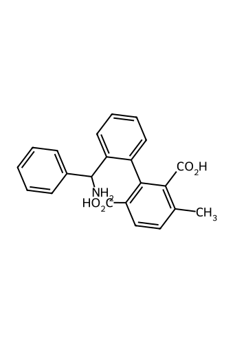 Cc1ccc(C(=O)O)c(-c2ccccc2C(N)c2ccccc2)c1C(=O)O